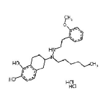 CCCCCCN(NCCc1ccccc1OC)C1CCc2c(ccc(O)c2O)C1.Cl.Cl